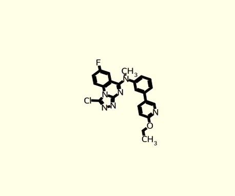 CCOc1ccc(-c2cccc(N(C)c3nc4nnc(Cl)n4c4ccc(F)cc34)c2)cn1